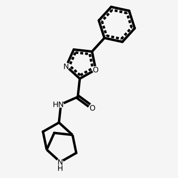 O=C(NC1CC2CC1CN2)c1ncc(-c2ccccc2)o1